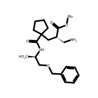 CC(C)(C)OC(=O)[C@H](CN)CC1(C(=O)N[C@@H](COCc2ccccc2)C(=O)O)CCCC1